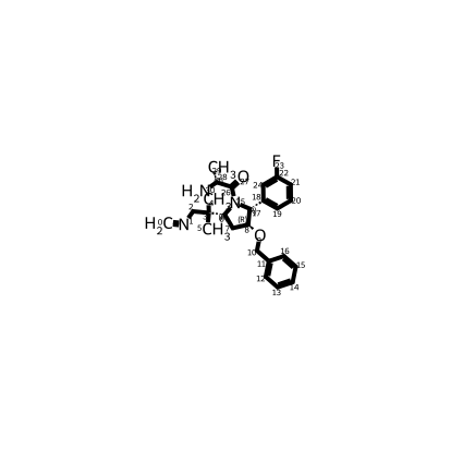 C=NCC(C)(C)[C@H]1C[C@@H](OCc2ccccc2)[C@@H](c2cccc(F)c2)N1C(=O)[C@@H](C)N